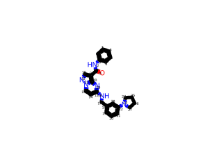 O=C(Nc1ccccc1)c1cnn2ccc(NCc3cccc(N4CCCC4)c3)nc12